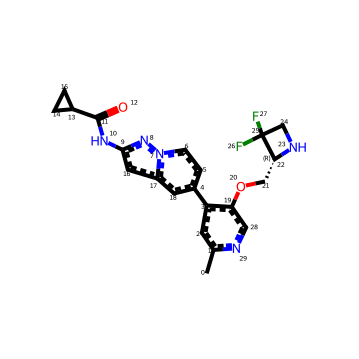 Cc1cc(-c2ccn3nc(NC(=O)C4CC4)cc3c2)c(OC[C@H]2NCC2(F)F)cn1